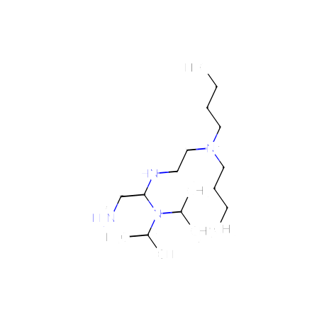 CCCCN(CCCC)CCNC(CN)N(C(C)C)C(C)C